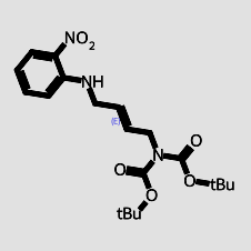 CC(C)(C)OC(=O)N(C/C=C/CNc1ccccc1[N+](=O)[O-])C(=O)OC(C)(C)C